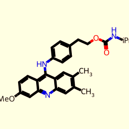 COc1ccc2c(Nc3ccc(CCOC(=O)NC(C)C)cc3)c3cc(C)c(C)cc3nc2c1